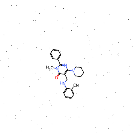 Cn1c(-c2ccccc2)nc(N2CCCCC2)c(CNc2ccccc2C#N)c1=O